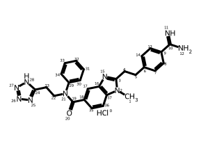 Cl.Cn1c(CCc2ccc(C(=N)N)cc2)nc2cc(C(=O)N(CCc3nnn[nH]3)c3ccccc3)ccc21